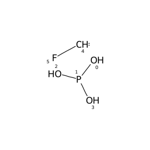 OP(O)O.[CH]F